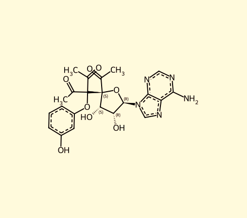 CC(=O)C(Oc1cccc(O)c1)(C(C)=O)[C@@]1(C(C)=O)O[C@@H](n2cnc3c(N)ncnc32)[C@H](O)[C@@H]1O